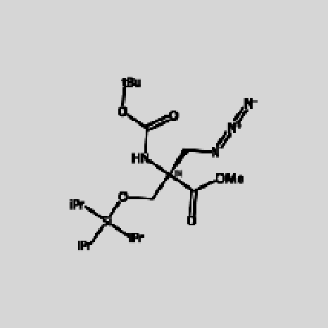 COC(=O)[C@](CN=[N+]=[N-])(CO[Si](C(C)C)(C(C)C)C(C)C)NC(=O)OC(C)(C)C